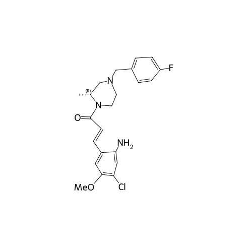 COc1cc(C=CC(=O)N2CCN(Cc3ccc(F)cc3)C[C@H]2C)c(N)cc1Cl